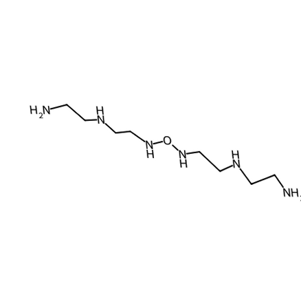 NCCNCCNONCCNCCN